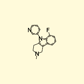 CN1CCc2c(c3cccc(F)c3n2-c2cccnc2)C1